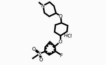 CN1CCC(OC2CCC(Oc3ccc(S(C)(=O)=O)cc3F)CC2)CC1.Cl